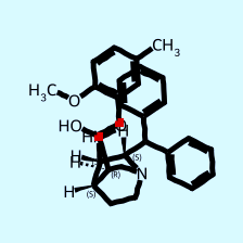 COc1ccc(C)cc1CN[C@H]1[C@H]2CCN(C[C@@H]2C(=O)O)[C@H]1C(c1ccccc1)c1ccccc1